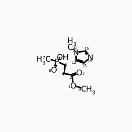 COC(=O)CCP(C)(=O)O.Cn1ccnc1